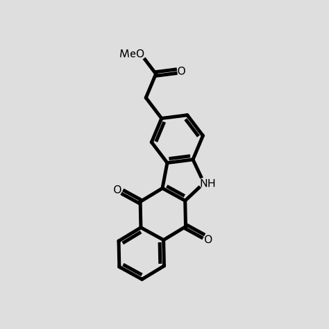 COC(=O)Cc1ccc2[nH]c3c(c2c1)C(=O)c1ccccc1C3=O